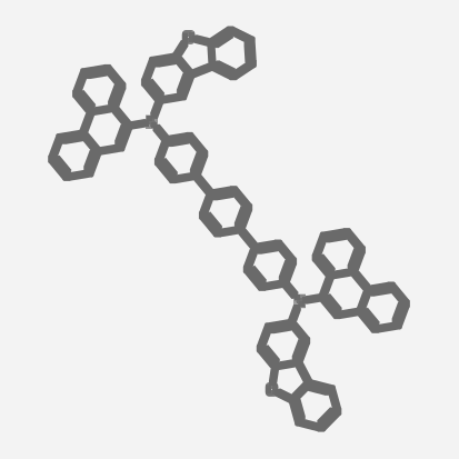 c1ccc2c(c1)cc(N(c1ccc(-c3ccc(-c4ccc(N(c5ccc6oc7ccccc7c6c5)c5cc6ccccc6c6ccccc56)cc4)cc3)cc1)c1ccc3oc4ccccc4c3c1)c1ccccc12